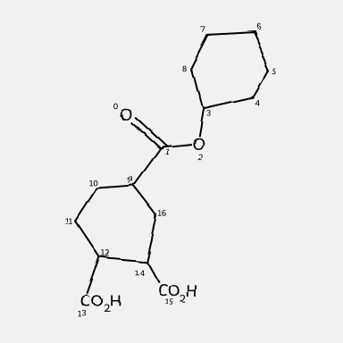 O=C(OC1CCCCC1)C1CCC(C(=O)O)C(C(=O)O)C1